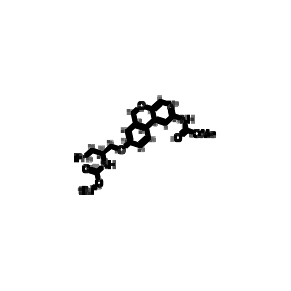 COC(=O)Nc1cc2c(cn1)OCc1cc(OC[C@H](CC(C)C)NC(=O)OC(C)(C)C)ccc1-2